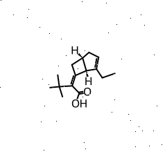 CCC1=CC[C@H]2CC(=C(C(=O)O)C(C)(C)C)[C@@H]12